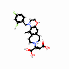 Cc1c2c(cc3c1N(Cc1ccc(F)cc1F)CCO3)CCN(/C(=C\C(=O)O)C(=O)O)CC2